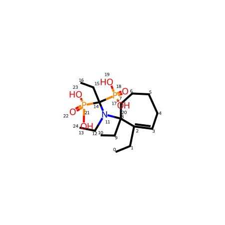 CCC1=CCCCCC1(CC)N(CC)C(CC)(P(=O)(O)O)P(=O)(O)O